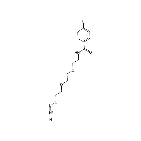 [N-]=[N+]=NOCCOCCOCCNC(=O)c1ccc(F)cc1